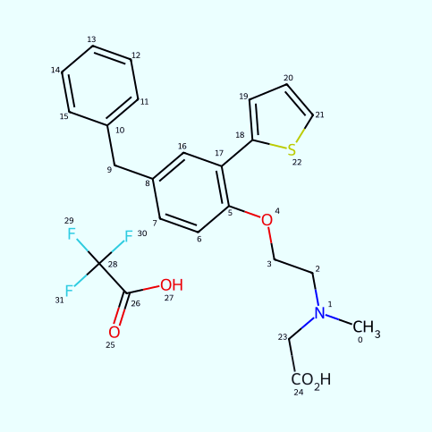 CN(CCOc1ccc(Cc2ccccc2)cc1-c1cccs1)CC(=O)O.O=C(O)C(F)(F)F